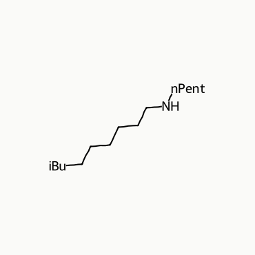 CCCCCNCCCCCCC(C)CC